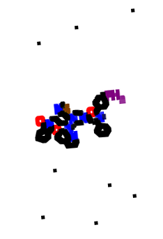 CN(C(=O)C1CCC(C)(P)CC1)[C@@H](CCN1CCN(Cc2cncs2)[C@@H](CN(CCCCN2C(=O)c3ccccc3C2=O)[C@H]2CCCc3cccnc32)C1)c1ccccc1